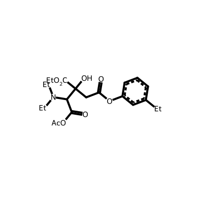 CCOC(=O)C(O)(CC(=O)Oc1cccc(CC)c1)C(C(=O)OC(C)=O)N(CC)CC